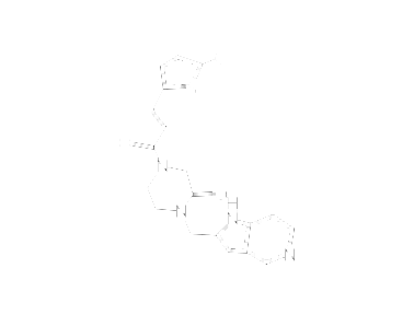 O=C(C=Cc1ccc(Cl)s1)N1CCN(Cc2cc3cnccc3[nH]2)C(=O)C1